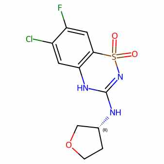 O=S1(=O)N=C(N[C@@H]2CCOC2)Nc2cc(Cl)c(F)cc21